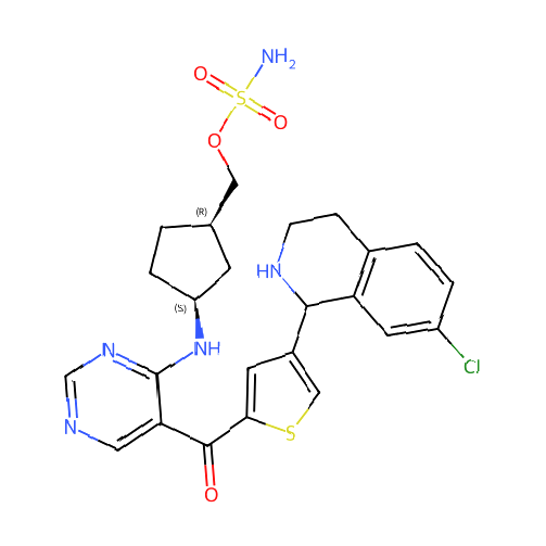 NS(=O)(=O)OC[C@@H]1CC[C@H](Nc2ncncc2C(=O)c2cc(C3NCCc4ccc(Cl)cc43)cs2)C1